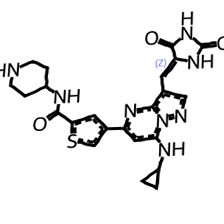 O=C1NC(=O)/C(=C/c2cnn3c(NC4CC4)cc(-c4csc(C(=O)NC5CCNCC5)c4)nc23)N1